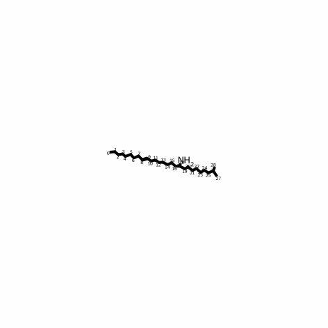 CCCCCCCCC=CCCCCCCCC(N)CCCCCCCC(C)C